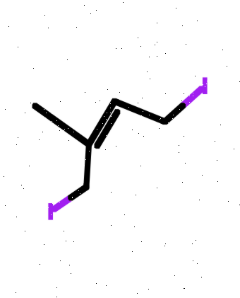 C/C(=C/CI)CI